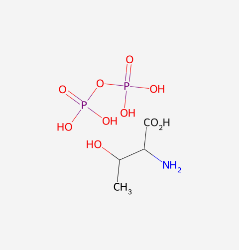 CC(O)C(N)C(=O)O.O=P(O)(O)OP(=O)(O)O